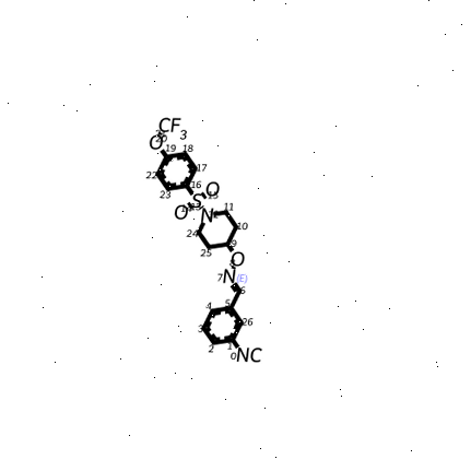 [C-]#[N+]c1cccc(/C=N/OC2CCN(S(=O)(=O)c3ccc(OC(F)(F)F)cc3)CC2)c1